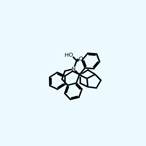 O=C(O)N1CCc2ccccc2C1(c1ccccc1)C1C2CCC1CN(Cc1ccccc1)C2